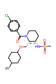 CC(C)C1CCC(OC[C@H]2[C@@H](NS(C)(=O)=O)CCCN2C(=O)c2ccc(Cl)cc2)CC1